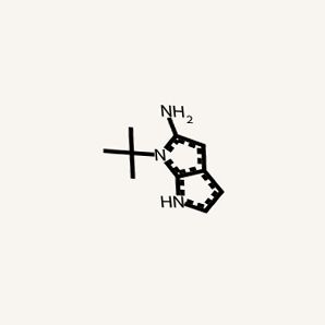 CC(C)(C)n1c(N)cc2cc[nH]c21